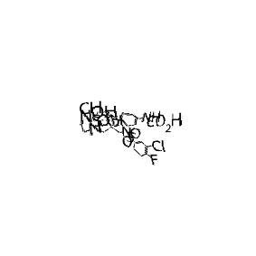 CN1CCN(CC2CN(S(=O)(=O)c3ccc(F)c(Cl)c3)c3cc(NC(=O)O)ccc3O2)S1(O)O